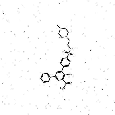 CN1CCN(CCNS(=O)(=O)c2ccc(-c3cc(-c4ccccc4)cc(C(N)=O)c3N)cc2)CC1